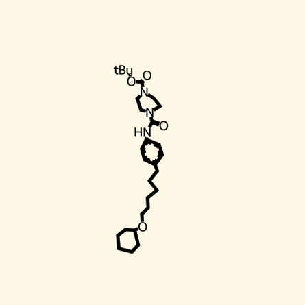 CC(C)(C)OC(=O)N1CCN(C(=O)Nc2ccc(CCCCCCOC3CCCCC3)cc2)CC1